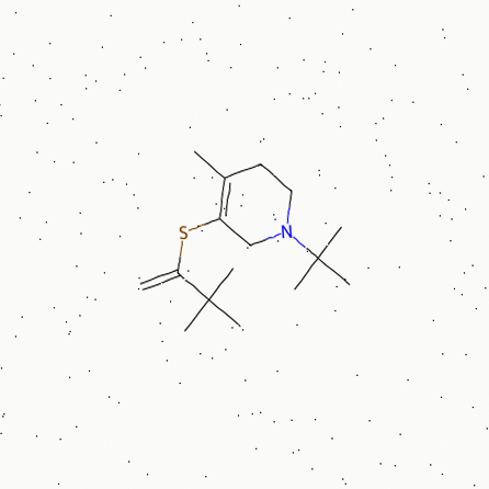 C=C(SC1=C(C)CCN(C(C)(C)C)C1)C(C)(C)C